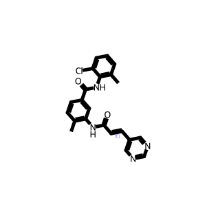 Cc1ccc(C(=O)Nc2c(C)cccc2Cl)cc1NC(=O)/C=C/c1cncnc1